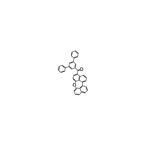 O=C(c1cc(-c2ccccc2)cc(-c2ccccc2)c1)c1ccc2oc3cccc4cccc(c5cccc1c25)c43